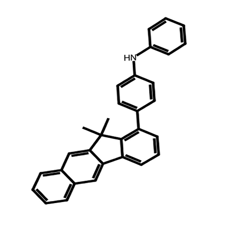 CC1(C)c2cc3ccccc3cc2-c2cccc(-c3ccc(Nc4ccccc4)cc3)c21